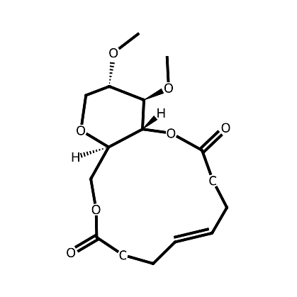 CO[C@H]1[C@@H]2OC(=O)CC/C=C/CCC(=O)OC[C@H]2OC[C@@H]1OC